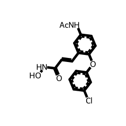 CC(=O)Nc1ccc(Oc2cccc(Cl)c2)c(C=CC(=O)NO)c1